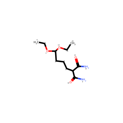 CCOC(CCCC(C(N)=O)C(N)=O)OCC